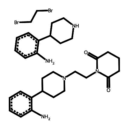 BrCCBr.Nc1ccccc1C1CCN(CCN2C(=O)CCCC2=O)CC1.Nc1ccccc1C1CCNCC1